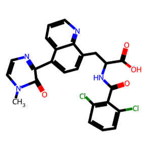 Cn1ccnc(-c2ccc(CC(NC(=O)c3c(Cl)cccc3Cl)C(=O)O)c3ncccc23)c1=O